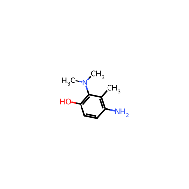 Cc1c(N)ccc(O)c1N(C)C